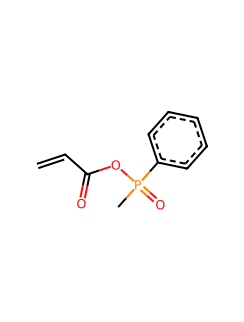 C=CC(=O)OP(C)(=O)c1ccccc1